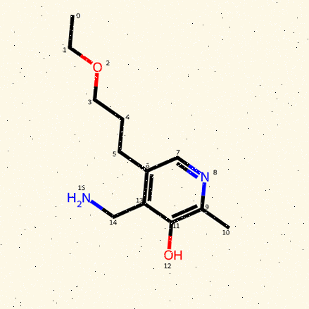 CCOCCCc1cnc(C)c(O)c1CN